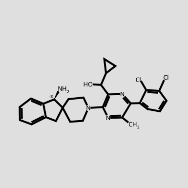 Cc1nc(N2CCC3(CC2)Cc2ccccc2[C@H]3N)c(C(O)C2CC2)nc1-c1cccc(Cl)c1Cl